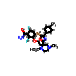 CN1CCN(C(=O)O)C(CCOc2ccc(F)c(C(N)=O)c2F)(c2nc(-c3ccc(C(F)(F)F)cc3)c(Br)o2)C1